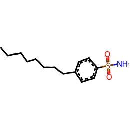 CCCCCCCCc1ccc(S([NH])(=O)=O)cc1